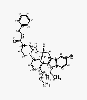 CCn1c(-c2cc(N3CCN(C(=O)OCc4ccccc4)CC3)cnc2[C@H](C)OC)c(CC(F)(F)CO)c2cc(Br)ccc21